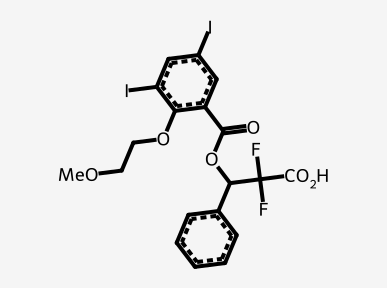 COCCOc1c(I)cc(I)cc1C(=O)OC(c1ccccc1)C(F)(F)C(=O)O